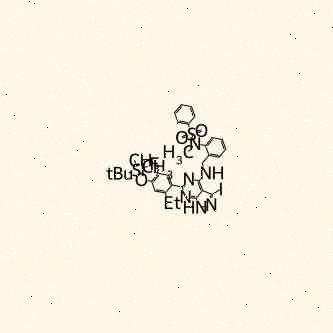 CCc1cc(O[Si](C)(C)C(C)(C)C)c(F)cc1-c1nc(NCc2ccccc2N(C)S(=O)(=O)c2ccccc2)c2c(I)n[nH]c2n1